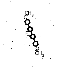 CCOC1CCC(c2ccc(-c3ccc(C4CCC(OCC)CC4)cc3F)c(F)c2)CC1